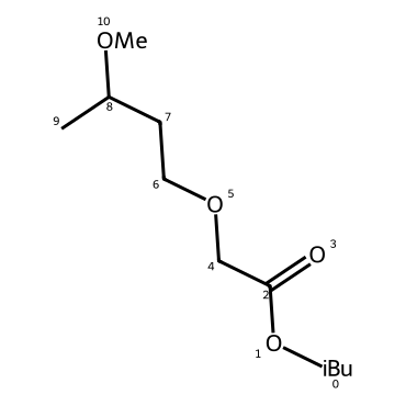 CCC(C)OC(=O)COCCC(C)OC